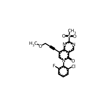 COCC#Cc1cn(-c2c(F)cccc2Cl)c(=O)c2cnc(S(C)(=O)=O)nc12